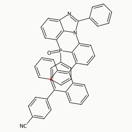 N#Cc1ccc(-c2c3ccccc3c(-c3cccc4c3P(=O)(c3ccccc3)c3cccc5nc(-c6ccccc6)n-4c35)c3ccccc23)cc1